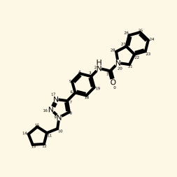 O=C(Nc1ccc(-c2cn(CC3CCCC3)nn2)cc1)N1Cc2ccccc2C1